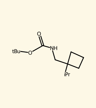 CC(C)C1(CNC(=O)OC(C)(C)C)CCC1